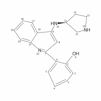 Oc1ccccc1-c1cc(N[C@H]2CCNC2)c2ccccc2n1